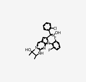 CC(Nc1ncc2cc(C(=NO)c3ccccc3Cl)n(-c3c(F)cccc3F)c2n1)C(C)(C)O